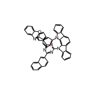 c1ccc(-c2nc(-c3ccc4ccccc4c3)nc(-n3c4ccccc4c4ccc5c6ccccc6n(-c6cccc(-c7nc8ccccc8o7)c6)c5c43)n2)cc1